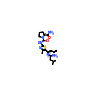 C=C/C=C(\N=C(/N)CC(C)C)c1sc(NC(=O)N2CCC[C@H]2C(N)=O)nc1C